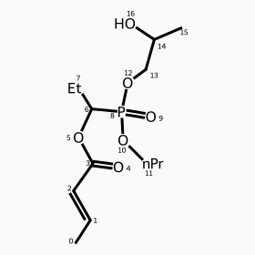 CC=CC(=O)OC(CC)P(=O)(OCCC)OCC(C)O